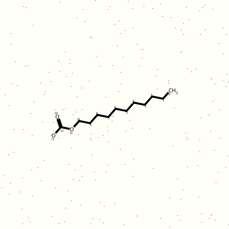 CCCCCCCCCCCOC([O])=O